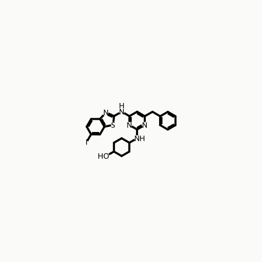 OC1CCC(Nc2nc(Cc3ccccc3)cc(Nc3nc4ccc(I)cc4s3)n2)CC1